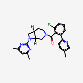 Cc1ccc(-c2cccc(F)c2C(=O)N2CC[C@H]3CN(c4nc(C)cc(C)n4)[C@H]3C2)nc1